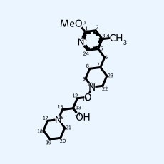 COc1cc(C)c(CC2CCN(OCC(O)CN3CCCCC3)CC2)cn1